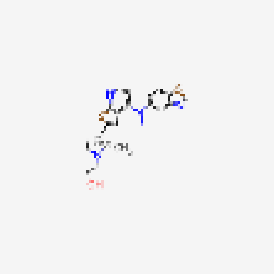 C[C@H]1[C@H](c2cc3c(Nc4ccc5scnc5c4)ccnc3s2)CCN1CCO